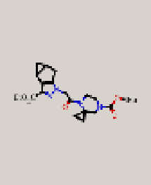 CCOC(=O)c1nn(CC(=O)N2CCN(C(=O)OC(C)(C)C)CC23CC3)c2c1C1CC1C2